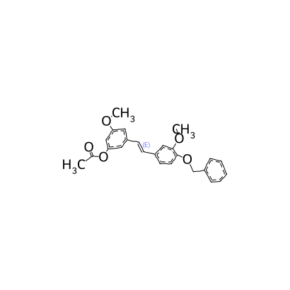 COc1cc(/C=C/c2ccc(OCc3ccccc3)c(OC)c2)cc(OC(C)=O)c1